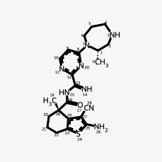 C[C@H]1CNCCCN1c1ccnc(C(=N)NC(=O)[C@@]2(C)CCCc3sc(N)c(C#N)c32)n1